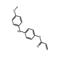 C=CC(=O)Oc1ccc(Nc2ccc(OC)cc2)cc1